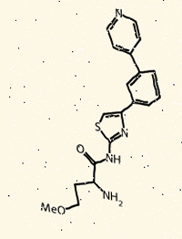 COCCC(N)C(=O)Nc1nc(-c2cccc(-c3ccncc3)c2)cs1